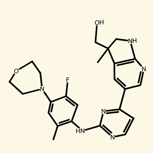 Cc1cc(N2CCOCC2)c(F)cc1Nc1nccc(-c2cnc3c(c2)C(C)(CO)CN3)n1